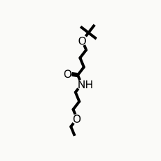 CCOCCCNC(=O)CCCOC(C)(C)C